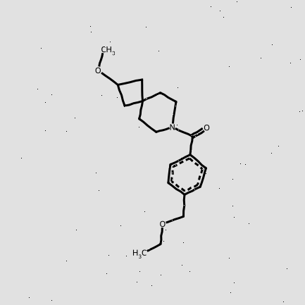 CCOCc1ccc(C(=O)N2CCC3(CC2)CC(OC)C3)cc1